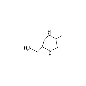 CC1CNC(CN)CN1